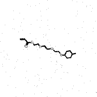 C=CC(=O)OCCOCCOCCO[C]1CCC(C)CC1